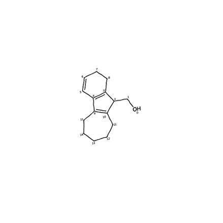 OCC1C2=C(C=CCC2)C2=C1CCCCC2